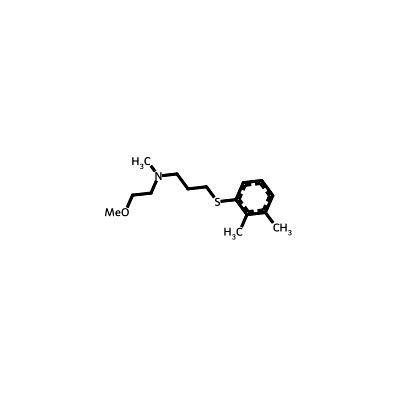 COCCN(C)CCCSc1cccc(C)c1C